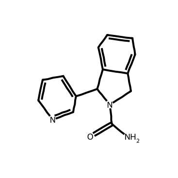 NC(=O)N1Cc2ccccc2C1c1cccnc1